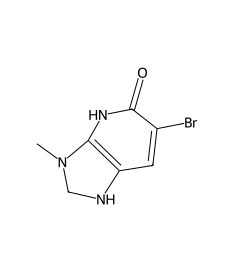 CN1CNc2cc(Br)c(=O)[nH]c21